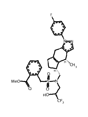 COC(=O)c1ccccc1CS(=O)(=O)N(CC(O)C(F)(F)F)C[C@@H]1CCC2=C1[C@@H](C)c1cnn(-c3ccc(F)cc3)c1C2